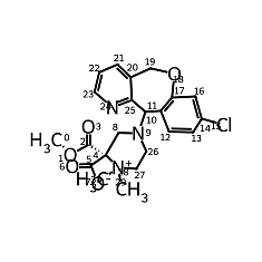 COC(=O)[C@]1(C(=O)[O-])CN(C2c3ccc(Cl)cc3OCc3cccnc32)CC[N+]1(C)C